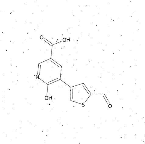 O=Cc1cc(-c2cc(C(=O)O)cnc2O)cs1